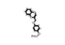 CCCC(C)Oc1ccc(OCC2=COc3ccccc3O2)cc1